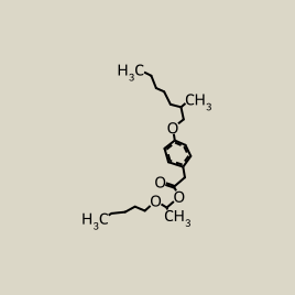 CCCCCOC(C)OC(=O)Cc1ccc(OCC(C)CCCCC)cc1